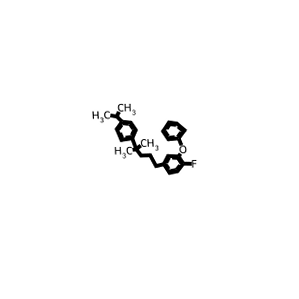 CC(C)c1ccc(C(C)(C)CCCc2ccc(F)c(Oc3ccccc3)c2)cc1